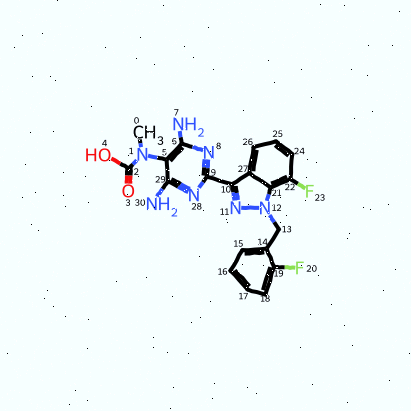 CN(C(=O)O)c1c(N)nc(-c2nn(Cc3ccccc3F)c3c(F)cccc23)nc1N